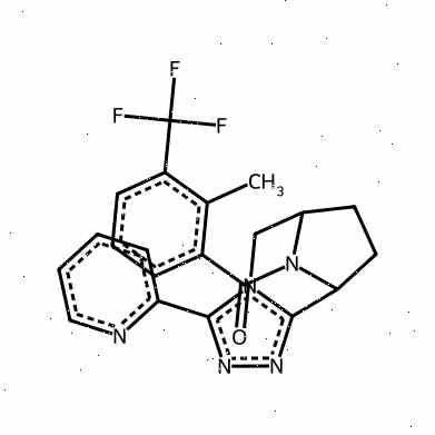 Cc1c(C(=O)N2C3CCC2c2nnc(-c4ccccn4)n2C3)cccc1C(F)(F)F